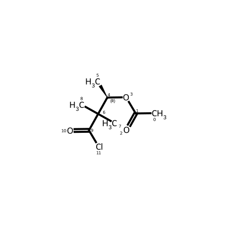 CC(=O)O[C@H](C)C(C)(C)C(=O)Cl